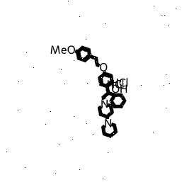 COc1ccc(CCOc2ccc(C(CN3CCC(N4CCCCC4)CC3)C3(O)CCCCC3)cc2)cc1.Cl.Cl